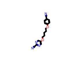 N#Cc1ccc(OCCCCCOc2cnc(C#N)nc2)cc1